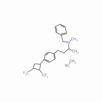 CC#N.CC(CCc1ccc(C2CC(C(F)(F)F)C2C(F)(F)F)cc1)N(C)Cc1ccccc1